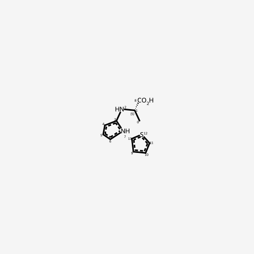 C[C@H](Nc1ccc[nH]1)C(=O)O.c1ccsc1